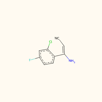 N#C/C=C(/N)c1ccc(F)cc1Cl